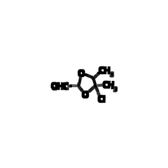 CC1OC(C=O)OC1(C)Cl